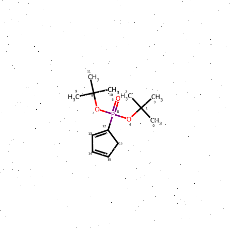 CC(C)(C)OP(=O)(OC(C)(C)C)C1=CC=C[CH]1